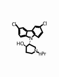 CCCN1CC[C@@H](O)[C@H](n2c3ccc(Cl)cc3c3cc(Cl)ccc32)C1